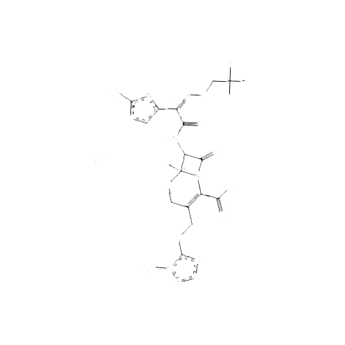 Cl.Cn1nnnc1SCC1=C(C(=O)O)N2C(=O)C(NC(=O)/C(=N\OCC(F)(F)F)c3csc(N)n3)[C@H]2SC1